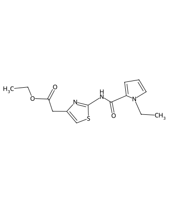 CCOC(=O)Cc1csc(NC(=O)c2cccn2CC)n1